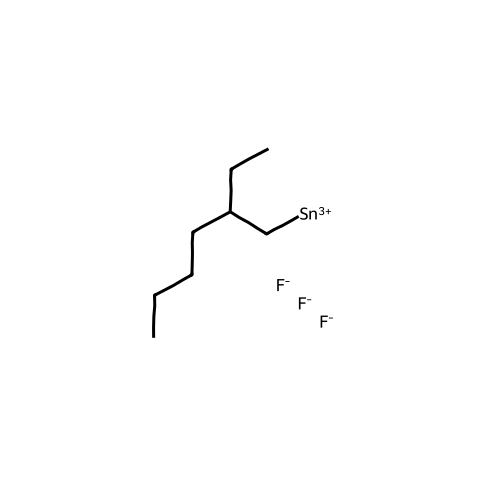 CCCCC(CC)[CH2][Sn+3].[F-].[F-].[F-]